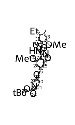 CCc1ccc(OC)c(S(=O)(=O)Nc2noc3cc(CO[C@H]4CCN(C(=O)OC(C)(C)C)C4)cc(OC)c23)c1